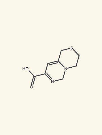 O=C(O)C1=NCN2CCSCC2=C1